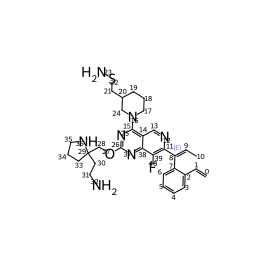 C=Cc1ccccc1/C(=C\C)c1ncc2c(N3CCCC(CSN)C3)nc(OCC3(CCN)CCCN3)nc2c1F